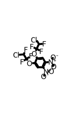 O=[N+]([O-])c1cc(OC(F)(F)C(F)Cl)c(OC(F)(F)C(F)Cl)cc1[N+](=O)[O-]